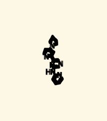 c1ccc(Nc2cncc(-c3cc(N4CCCC4)ccn3)n2)nc1